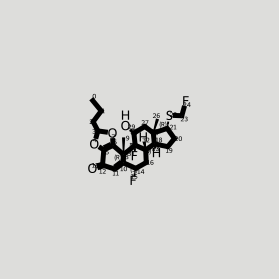 CCCC1OC2=C(O1)[C@@]1(C)C(=CC2=O)[C@@H](F)C[C@H]2[C@@H]3CC[C@@H](SCF)[C@@]3(C)C[C@H](O)[C@@]21F